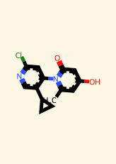 Cc1cc(O)cc(=O)n1-c1cc(Cl)ncc1C1CC1